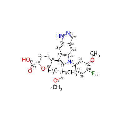 COCC(C)(C)c1c([C@@H]2CC[C@@H](C(=O)O)OC2)c2cc3[nH]ncc3cc2n1-c1ccc(F)c(OC)c1